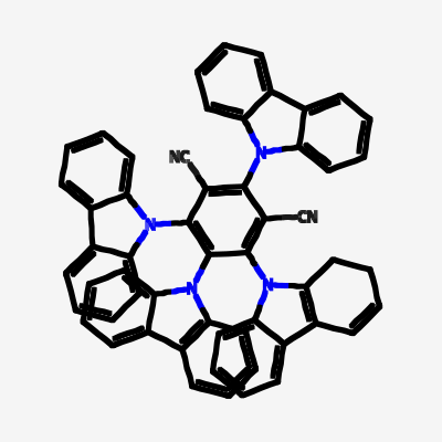 N#Cc1c(-n2c3c(c4ccccc42)C=CCC3)c(-n2c3c(c4ccccc42)C=C=C=C3)c(-n2c3ccccc3c3ccccc32)c(C#N)c1-n1c2ccccc2c2ccccc21